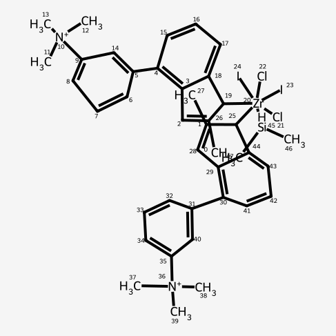 CC1=Cc2c(-c3cccc([N+](C)(C)C)c3)cccc2[CH]1[Zr]([Cl])([Cl])([I])([I])([CH]1C(C)=Cc2c(-c3cccc([N+](C)(C)C)c3)cccc21)[SiH](C)C